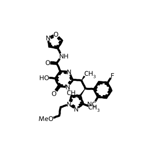 COCCn1cc([C@H](c2cc(F)ccc2C#N)[C@H](C)c2nc(C(=O)Nc3cnoc3)c(O)c(=O)n2C)c(C)n1